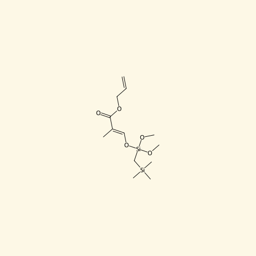 C=CCOC(=O)C(C)=CO[Si](C[Si](C)(C)C)(OC)OC